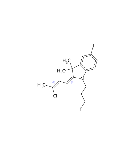 C/C(Cl)=C/C=C1/N(CCCI)c2ccc(I)cc2C1(C)C